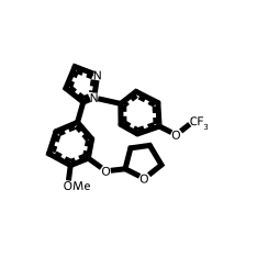 COc1ccc(-c2ccnn2-c2ccc(OC(F)(F)F)cc2)cc1OC1CCCO1